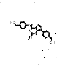 Nc1nc(Nc2ccc(CO)cc2)c2ncn(-c3ccc(CO)cc3)c2n1